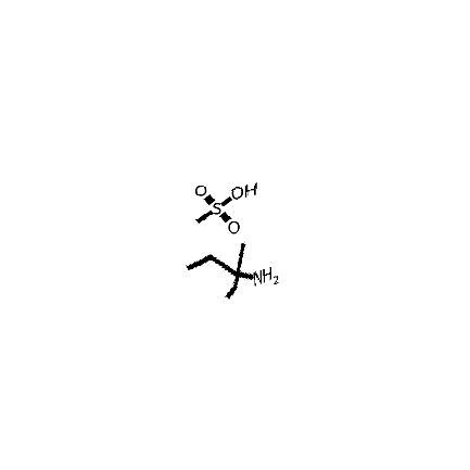 CCC(C)(C)N.CS(=O)(=O)O